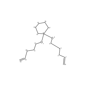 C=CCCCOC1(OCCCC=C)CCCCC1